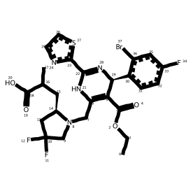 CCOC(=O)C1=C(CN2CC(F)(F)C[C@H]2CC(C)C(=O)O)NC(c2nccs2)=N[C@H]1c1ccc(F)cc1Br